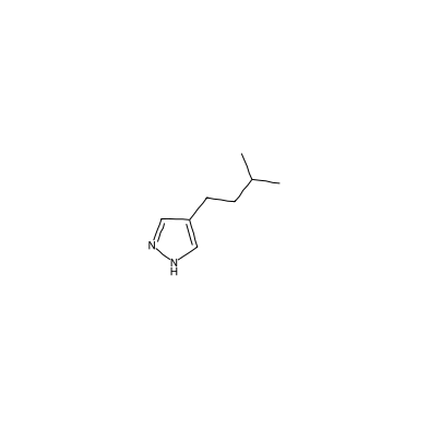 CC(C)CCc1cn[nH]c1